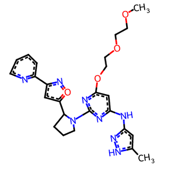 COCCOCCOc1cc(Nc2cc(C)[nH]n2)nc(N2CCCC2c2cc(-c3ccccn3)no2)n1